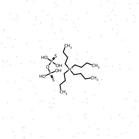 CCCC[N+](CCCC)(CCCC)CCCC.OP(O)(=S)OP(O)(O)=S